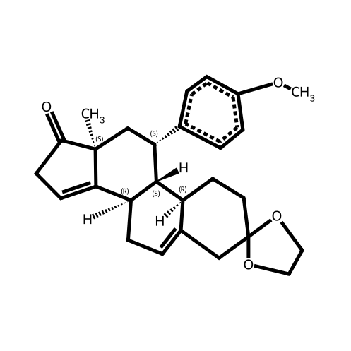 COc1ccc([C@H]2C[C@]3(C)C(=O)CC=C3[C@@H]3CC=C4CC5(CC[C@@H]4[C@@H]23)OCCO5)cc1